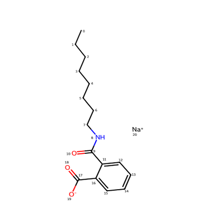 CCCCCCCCNC(=O)c1ccccc1C(=O)[O-].[Na+]